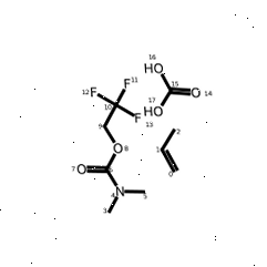 C=CC.CN(C)C(=O)OCC(F)(F)F.O=C(O)O